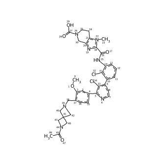 COc1cc(-c2nccc(-c3cccc(NC(=O)c4nc5c(n4C)CCN(C(=O)O)C5)c3Cl)c2Cl)ccc1CN1CC2(C1)CN(C(C)=O)C2